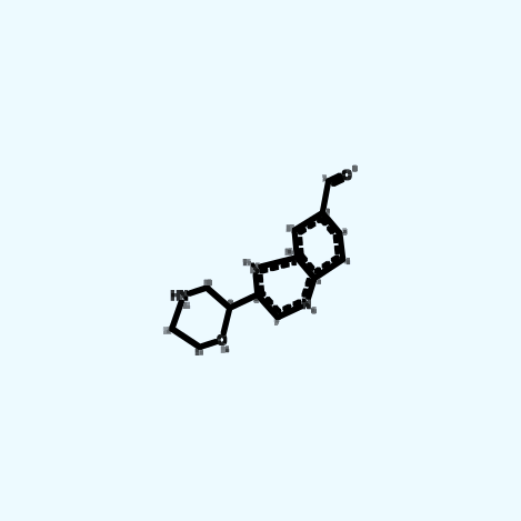 O=Cc1ccc2ncc(C3CNCCO3)nc2c1